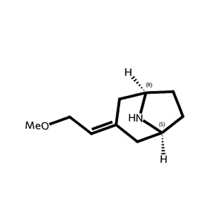 COCC=C1C[C@H]2CC[C@@H](C1)N2